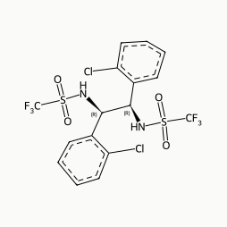 O=S(=O)(N[C@H](c1ccccc1Cl)[C@H](NS(=O)(=O)C(F)(F)F)c1ccccc1Cl)C(F)(F)F